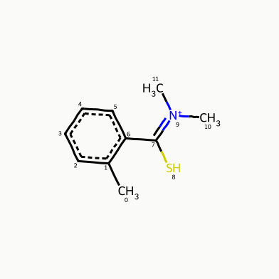 Cc1ccccc1C(S)=[N+](C)C